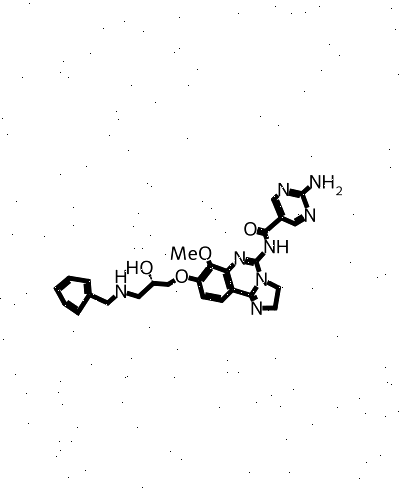 COc1c(OC[C@@H](O)CNCc2ccccc2)ccc2c1N=C(NC(=O)c1cnc(N)nc1)N1CCN=C21